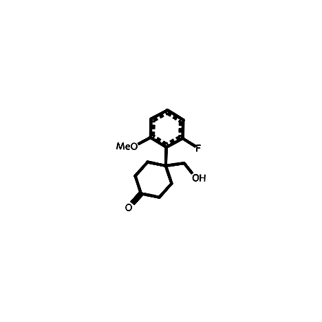 COc1cccc(F)c1C1(CO)CCC(=O)CC1